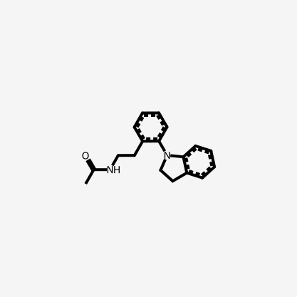 CC(=O)NCCc1ccccc1N1CCc2ccccc21